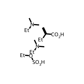 C=C(CC)C(=O)O.CCN(C)C.CCN(C)C.CCOS(=O)(=O)O